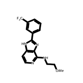 COCCNc1nccc2[nH]c(-c3cccc(C(F)(F)F)c3)nc12